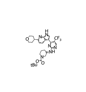 CC(C)(C)OC(=O)N1CCC[C@H](Nc2ncc(C(F)(F)F)c(-c3c[nH]c4nc(C5CCOCC5)ccc34)n2)C1